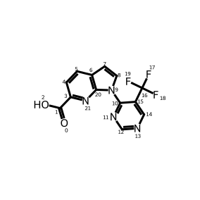 O=C(O)c1ccc2ccn(-c3ncncc3C(F)(F)F)c2n1